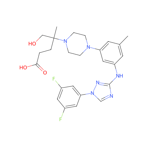 Cc1cc(Nc2ncn(-c3cc(F)cc(F)c3)n2)cc(N2CCN(C(C)(CO)CCC(=O)O)CC2)c1